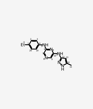 CCc1ccc(Nc2cncc(Nc3cc(C)[nH]n3)n2)cc1